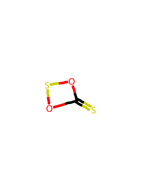 S=c1oso1